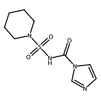 O=C(NS(=O)(=O)N1CCCCC1)n1ccnc1